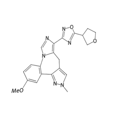 COc1ccc2c(c1)-c1nn(C)cc1Cc1c(-c3noc(C4CCOC4)n3)ncn1-2